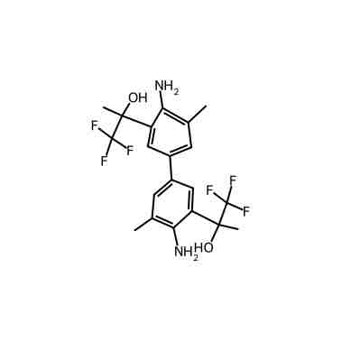 Cc1cc(-c2cc(C)c(N)c(C(C)(O)C(F)(F)F)c2)cc(C(C)(O)C(F)(F)F)c1N